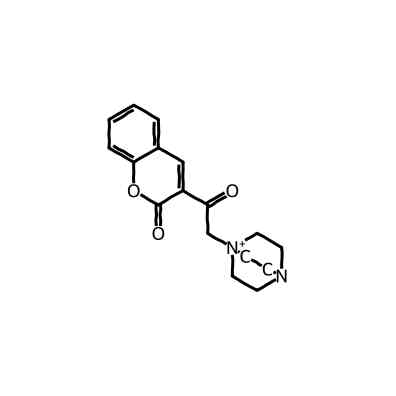 O=C(C[N+]12CCN(CC1)CC2)c1cc2ccccc2oc1=O